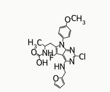 COc1ccc(-n2c(CC(C)NC(=O)O)c(F)c3c(NCc4ccco4)nc(Cl)nc32)cc1